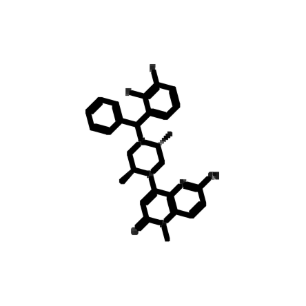 C[C@@H]1CN(c2cc(=O)n(C)c3ccc(C#N)nc23)[C@@H](C)CN1C(c1ccccc1)c1cccc(F)c1F